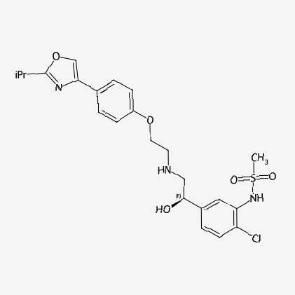 CC(C)c1nc(-c2ccc(OCCNC[C@H](O)c3ccc(Cl)c(NS(C)(=O)=O)c3)cc2)co1